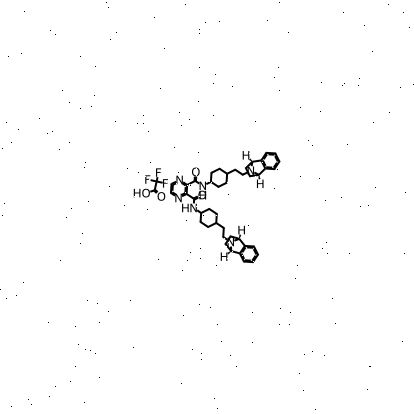 O=C(NC1CCC(CCN2[C@@H]3CC[C@H]2c2ccccc23)CC1)c1nccnc1C(=O)NC1CCC(CCN2[C@@H]3CC[C@H]2c2ccccc23)CC1.O=C(O)C(F)(F)F